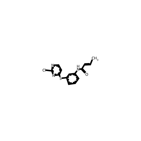 C/C=C/C(=O)Nc1cccc(Sc2ccnc(Cl)n2)c1